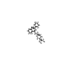 CCN(CC)C1CCN(CCc2cc(-c3ccccc3)nc3ccccc23)CC1